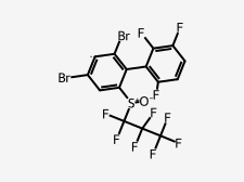 [O-][S+](c1cc(Br)[c]c(Br)c1-c1c(F)ccc(F)c1F)C(F)(F)C(F)(F)C(F)(F)F